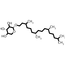 CC(C)CCC[C@H](C)CCC[C@H](C)CCCC(C)CCO[C@@H]1OCC(O)[C@H](O)C1O